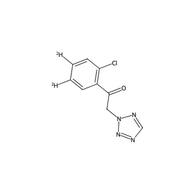 [2H]c1cc(Cl)c(C(=O)Cn2ncnn2)cc1[2H]